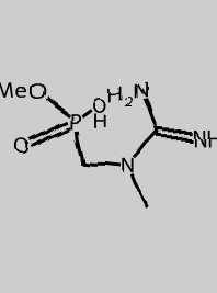 COP(=O)(O)CN(C)C(=N)N